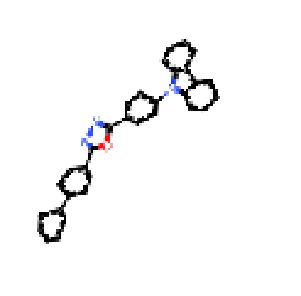 c1ccc(-c2ccc(-c3nnc(-c4ccc(-n5c6ccccc6c6ccccc65)cc4)o3)cc2)cc1